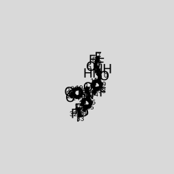 O=C(NNC(=O)C(F)(F)F)c1ccc(CN(C(=O)N2CCS(=O)(=O)CC2)c2ccc(OC(F)(F)F)cc2)c(F)c1